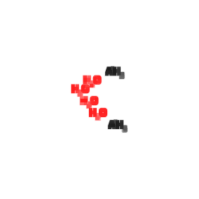 O.O.O.O.[AlH3].[AlH3]